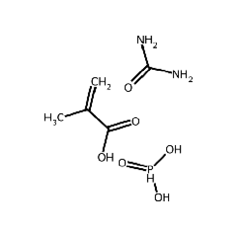 C=C(C)C(=O)O.NC(N)=O.O=[PH](O)O